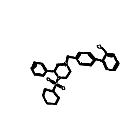 O=S(=O)(C1CCCCC1)N1CCN(Cc2ccc(-c3ccccc3Cl)cc2)CC1c1ccccc1